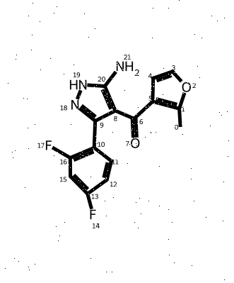 Cc1occc1C(=O)c1c(-c2ccc(F)cc2F)n[nH]c1N